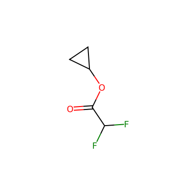 O=C(OC1CC1)C(F)F